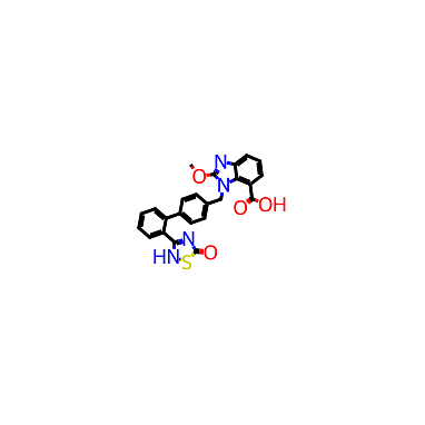 COc1nc2cccc(C(=O)O)c2n1Cc1ccc(-c2ccccc2-c2nc(=O)s[nH]2)cc1